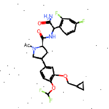 CC(=O)N1CC(c2ccc(OC(F)F)c(OCC3CC3)c2)C[C@@H]1C(=O)NC(C(N)=O)c1ccc(F)cc1F